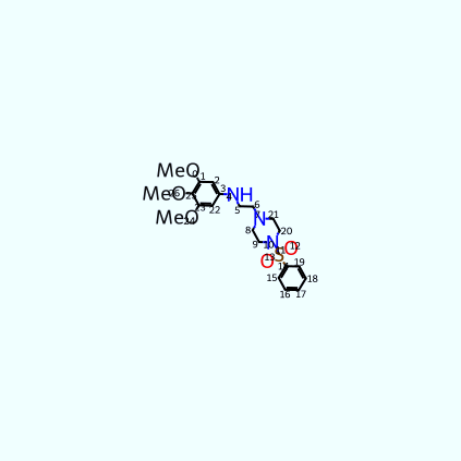 COc1cc(NCCN2CCN(S(=O)(=O)c3ccccc3)CC2)cc(OC)c1OC